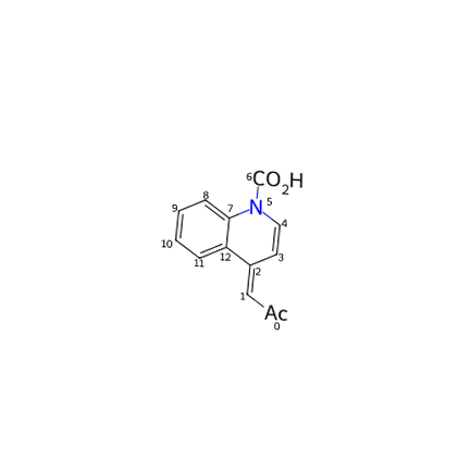 CC(=O)C=C1C=CN(C(=O)O)c2ccccc21